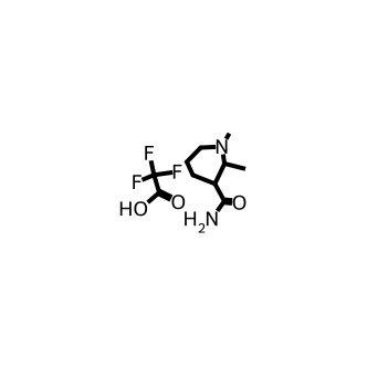 CC1C(C(N)=O)CCCN1C.O=C(O)C(F)(F)F